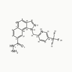 NNC(=O)c1ccc2ncc3cnn(Cc4ccc(C(F)(F)F)cn4)c3c2c1